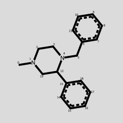 CN1CCN(Cc2ccccc2)C(c2ccccc2)C1